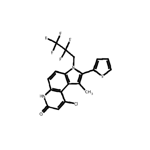 Cc1c(-c2cccs2)n(CC(F)(F)C(F)(F)F)c2ccc3[nH]c(=O)cc(Cl)c3c12